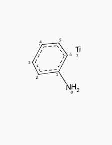 Nc1cc[c]cc1.[Ti]